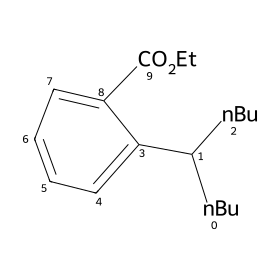 CCCCC(CCCC)c1ccccc1C(=O)OCC